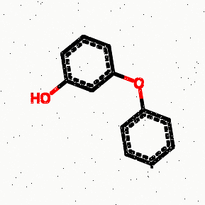 Oc1cccc(Oc2cc[c]cc2)c1